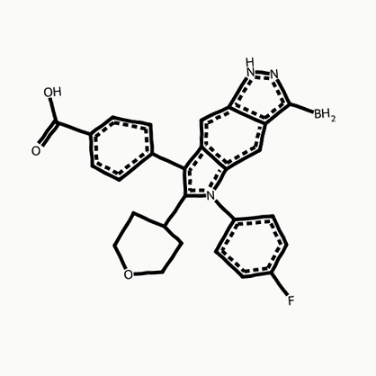 Bc1n[nH]c2cc3c(-c4ccc(C(=O)O)cc4)c(C4CCOCC4)n(-c4ccc(F)cc4)c3cc12